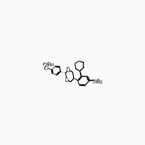 CCCCOc1ccc([C@H]2OC[C@H](c3ccc(CCCC)cc3C3CCCCC3)CO2)cc1